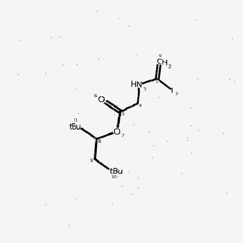 C=C(I)NCC(=O)OC(CC(C)(C)C)C(C)(C)C